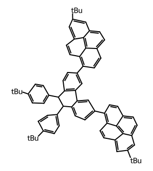 CC(C)(C)c1ccc(C2c3ccc(-c4ccc5ccc6cc(C(C)(C)C)cc7ccc4c5c67)cc3-c3cc(-c4ccc5ccc6cc(C(C)(C)C)cc7ccc4c5c67)ccc3C2c2ccc(C(C)(C)C)cc2)cc1